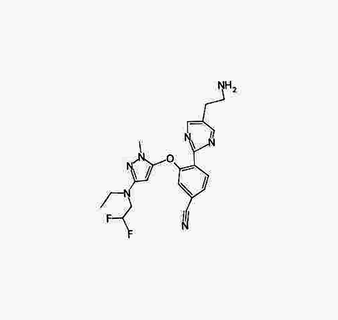 CCN(CC(F)F)c1cc(Oc2cc(C#N)ccc2-c2ncc(CCN)cn2)n(C)n1